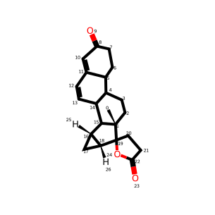 C[C@]12CCC3C4CCC(=O)C=C4C=CC3C1[C@H]1C[C@H]1C21CCC(=O)O1